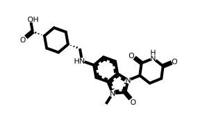 Cn1c(=O)n(C2CCC(=O)NC2=O)c2ccc(NC[C@H]3CC[C@@H](C(=O)O)CC3)cc21